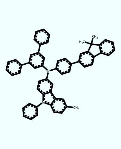 Cc1ccc2c(c1)c1cc(N(c3ccc(-c4ccc5c(c4)C(C)(C)c4ccccc4-5)cc3)c3cc(-c4ccccc4)cc(-c4ccccc4)c3)ccc1n2-c1ccccc1